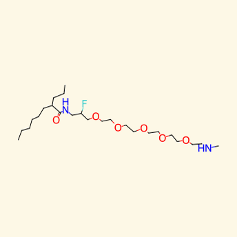 CCCCCCC(CCC)C(=O)NCC(F)COCCOCCOCCOCCOCCNC